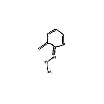 C=C1C=CC=C/C1=N/NN